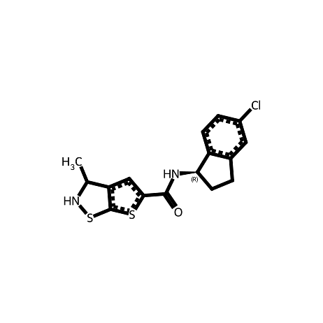 CC1NSc2sc(C(=O)N[C@@H]3CCc4cc(Cl)ccc43)cc21